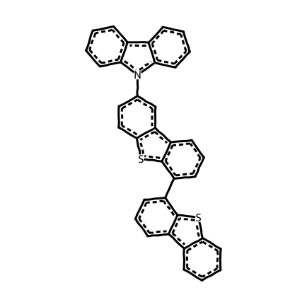 c1ccc2c(c1)sc1c(-c3cccc4c3sc3ccc(-n5c6ccccc6c6ccccc65)cc34)cccc12